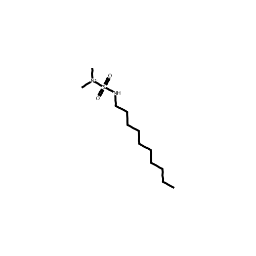 CCCCCCCCCCNS(=O)(=O)[N+](C)C